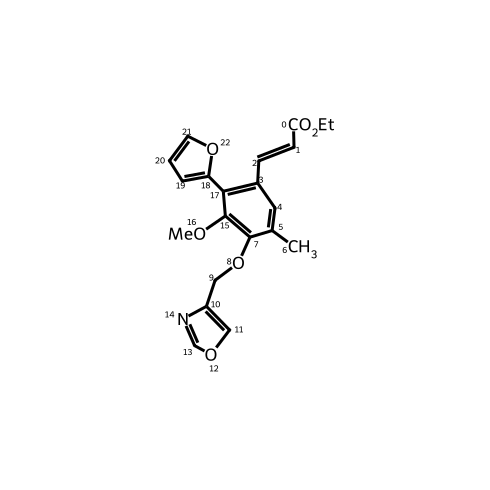 CCOC(=O)C=Cc1cc(C)c(OCc2cocn2)c(OC)c1-c1ccco1